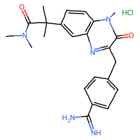 CN(C)C(=O)C(C)(C)c1ccc2c(c1)nc(Cc1ccc(C(=N)N)cc1)c(=O)n2C.Cl